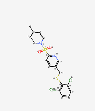 CC1CCN(S(=O)(=O)c2ccc(CSc3c(Cl)cccc3Cl)cn2)CC1